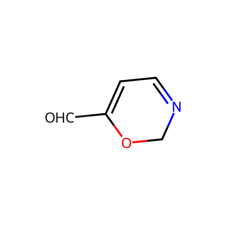 O=CC1=CC=NCO1